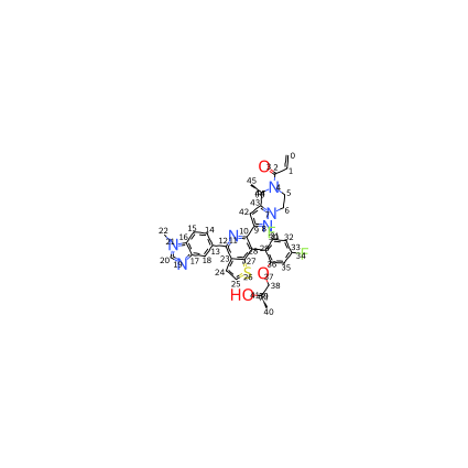 C=CC(=O)N1CCn2nc(-c3nc(-c4ccc5c(c4)ncn5C)c4ccsc4c3-c3c(F)cc(F)cc3OC[C@@H](C)O)cc2[C@H]1C